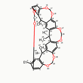 CCc1cc2c3cc1OCOc1ccc4c(c1)OCOc1cc5c(cc1C4C)[C@H](C)c1cc(c(cc1OCO5)OCO3)[C@@H]2C